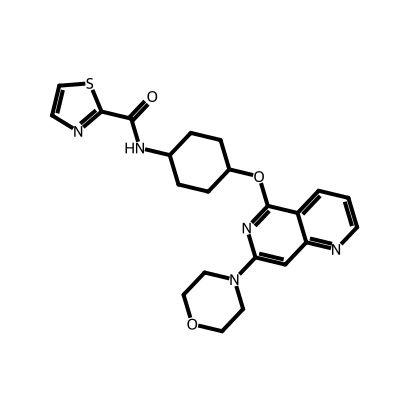 O=C(NC1CCC(Oc2nc(N3CCOCC3)cc3ncccc23)CC1)c1nccs1